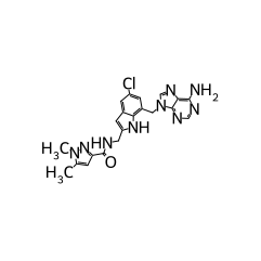 Cc1cc(C(=O)NCc2cc3cc(Cl)cc(Cn4cnc5c(N)ncnc54)c3[nH]2)nn1C